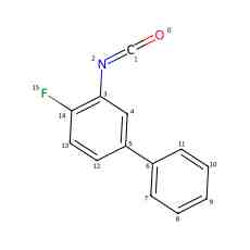 O=C=Nc1cc(-c2ccccc2)ccc1F